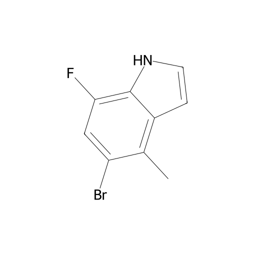 Cc1c(Br)cc(F)c2[nH]ccc12